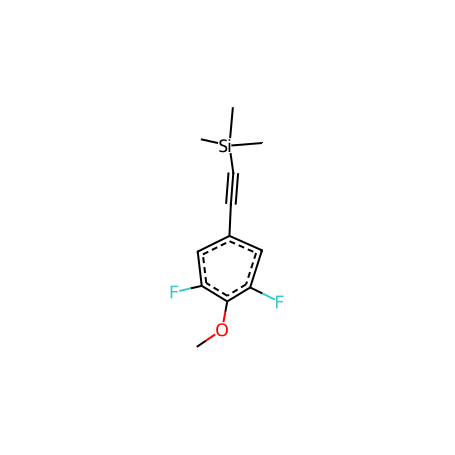 COc1c(F)cc(C#C[Si](C)(C)C)cc1F